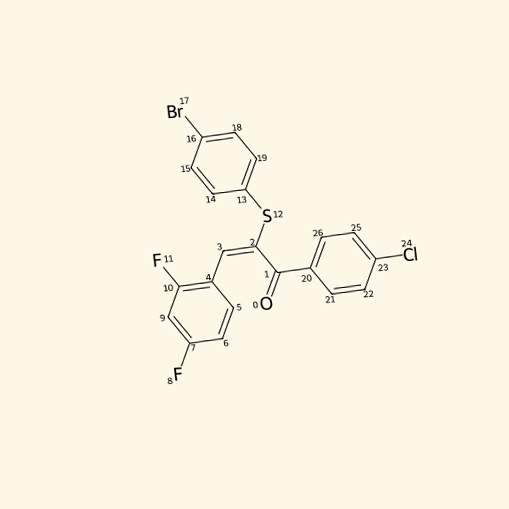 O=C(/C(=C\c1ccc(F)cc1F)Sc1ccc(Br)cc1)c1ccc(Cl)cc1